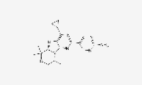 CC1COC(C)(C)c2nc3c(C4CC4)nc(-c4cnc(N)nc4)nc3n21